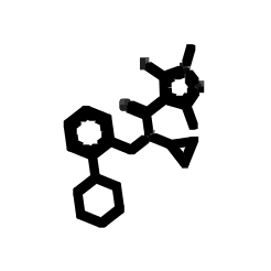 Cc1nn(C)c(F)c1C(=O)N(Cc1ccccc1C1CCCCC1)C1CC1